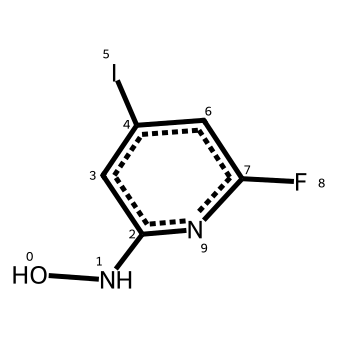 ONc1cc(I)cc(F)n1